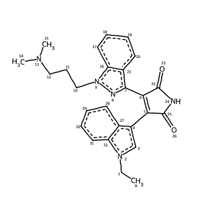 CCn1cc(C2=C(c3nn(CCCN(C)C)c4ccccc34)C(=O)NC2=O)c2ccccc21